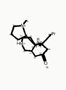 CC(C)C1NN(C2CCCN2C)C23CCNCC2CC(=O)CC13